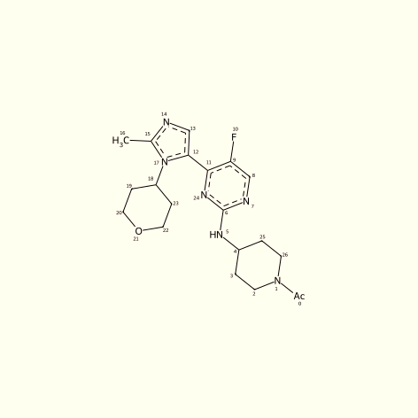 CC(=O)N1CCC(Nc2ncc(F)c(-c3cnc(C)n3C3CCOCC3)n2)CC1